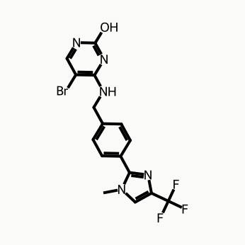 Cn1cc(C(F)(F)F)nc1-c1ccc(CNc2nc(O)ncc2Br)cc1